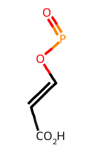 O=POC=CC(=O)O